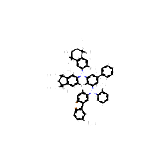 Cc1ccccc1N1c2cc3c(cc2B2c4cc5c(cc4N(c4cc6c(cc4C)C(C)(C)CCC6(C)C)c4cc(-c6ccccc6)cc1c42)C(C)(C)CC5(C)C)sc1ccc(C(C)(C)C)cc13